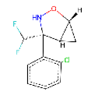 FC(F)[C@]1(c2ccccc2Cl)NO[C@@H]2C[C@@H]21